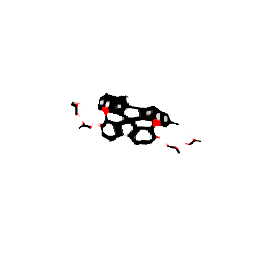 Cc1cccc(-c2c(OCC(C)OCC(C)O)cccc2C2(c3cccc(OCC(C)OCC(C)O)c3-c3cccc(C)c3)c3ccccc3-c3ccccc32)c1